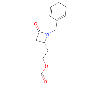 O=COCC[C@@H]1CC(=O)N1CC1=CCCC=C1